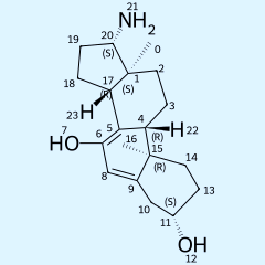 C[C@]12CC[C@H]3C(=C(O)C=C4C[C@@H](O)CC[C@@]43C)[C@@H]1CC[C@@H]2N